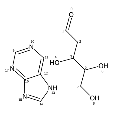 O=CCC(O)C(O)CO.c1ncc2[nH]cnc2n1